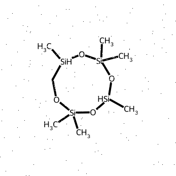 C[SiH]1CO[Si](C)(C)O[SiH](C)O[Si](C)(C)O1